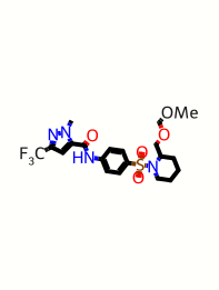 COCOCC1CCCCN1S(=O)(=O)c1ccc(NC(=O)c2cc(C(F)(F)F)nn2C)cc1